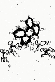 NC(=O)O.NC(=O)O.NC(=O)O.NC(=O)O.c1cc2cccc3c4cccc5cccc(c(c1)c23)c54